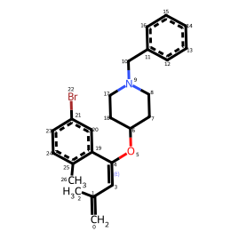 C=C(C)/C=C(/OC1CCN(Cc2ccccc2)CC1)c1cc(Br)ccc1C